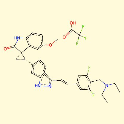 CCN(CC)Cc1c(F)cc(C=Cc2n[nH]c3cc([C@@H]4C[C@@]45C(=O)Nc4ccc(OC)cc45)ccc23)cc1F.O=C(O)C(F)(F)F